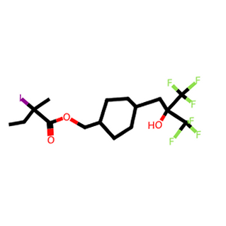 CCC(C)(I)C(=O)OCC1CCC(CC(O)(C(F)(F)F)C(F)(F)F)CC1